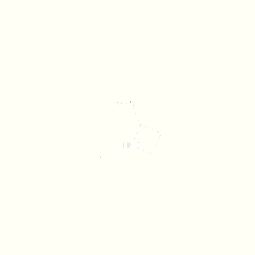 CNC1CCN1.Cl.Cl